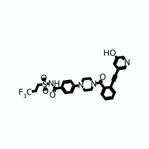 O=C(NS(=O)(=O)CCC(F)(F)F)c1ccc(N2CCN(C(=O)c3ccccc3C#Cc3cncc(O)c3)CC2)cc1